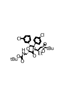 CC[C@@H](CS(=O)(=O)C(C)(C)C)N1C(=O)[C@H](CNC(=O)OC(C)(C)C)O[C@H](c2cccc(Cl)c2)[C@H]1c1ccc(Cl)cc1